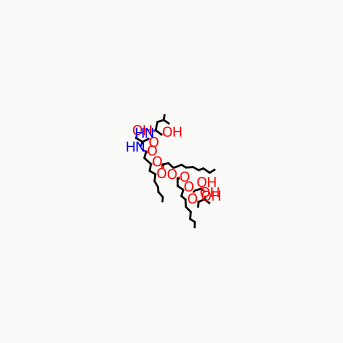 CCCCCCCC(CC(=O)NC(CO)C(=O)NC(CO)CC(C)C)OC(=O)CC(CCCCCCC)OC(=O)CC(CCCCCCC)OC(OC(C)C(C)O)C(O)O